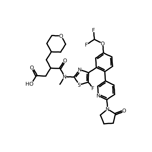 CN(C(=O)C(CC(=O)O)CC1CCOCC1)c1nc(-c2cc(OC(F)F)ccc2-c2ccc(N3CCCC3=O)nc2)c(F)s1